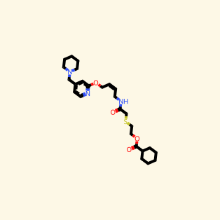 O=C(CSCCOC(=O)C1CCCCC1)NC/C=C\COc1cc(CN2CCCCC2)ccn1